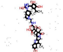 CCc1c2c(nc3ccc(O)cc13)-c1cc3c(c(=O)n1C2)COC(=O)C3(CC)C(CC(=O)NCCn1ccc2cc(-n3c(O)nnc3-c3cc(C(C)C)c(O)cc3O)ccc21)C(=O)O